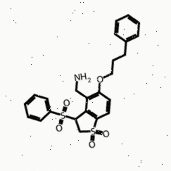 NCc1c(OCCCc2ccccc2)ccc2c1C(S(=O)(=O)c1ccccc1)CS2(=O)=O